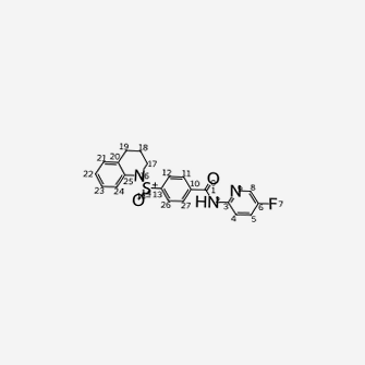 O=C(Nc1ccc(F)cn1)c1ccc([S+]([O-])N2CCCc3ccccc32)cc1